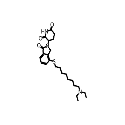 CCN(CC)CCCCCCCCSc1cccc2c1CN(C1CCC(=O)NC1=O)C2=O